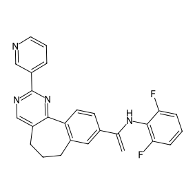 C=C(Nc1c(F)cccc1F)c1ccc2c(c1)CCCc1cnc(-c3cccnc3)nc1-2